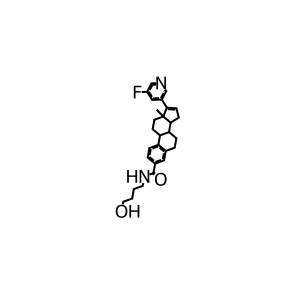 CC12CCC3c4ccc(C(=O)NCCCCO)cc4CCC3C1CC=C2c1cncc(F)c1